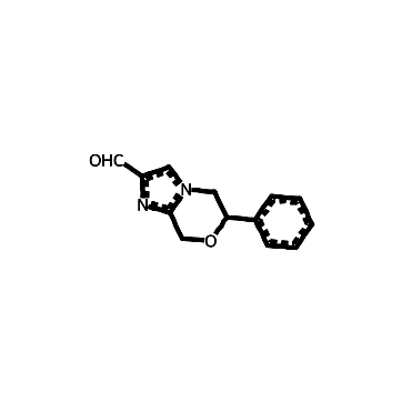 O=Cc1cn2c(n1)COC(c1ccccc1)C2